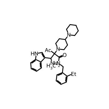 CCc1ccccc1CN(C)C(=O)C(C(C)=O)(C(N)c1c[nH]c2ccccc12)N1CCC(N2CCCCC2)CC1